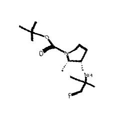 C[C@H]1[C@@H](NC(C)(C)CF)CCN1C(=O)OC(C)(C)C